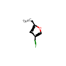 O=Cc1cc(F)co1